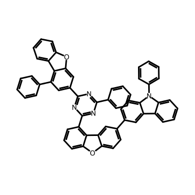 c1ccc(-c2nc(-c3cc(-c4ccccc4)c4c(c3)oc3ccccc34)nc(-c3cccc4oc5ccc(-c6ccc7c(c6)c6ccccc6n7-c6ccccc6)cc5c34)n2)cc1